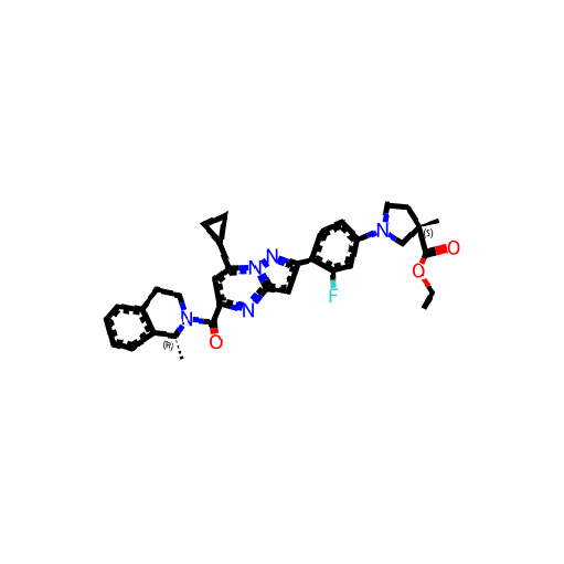 CCOC(=O)[C@@]1(C)CCN(c2ccc(-c3cc4nc(C(=O)N5CCc6ccccc6[C@H]5C)cc(C5CC5)n4n3)c(F)c2)C1